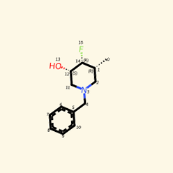 C[C@@H]1CN(Cc2ccccc2)C[C@H](O)[C@@H]1F